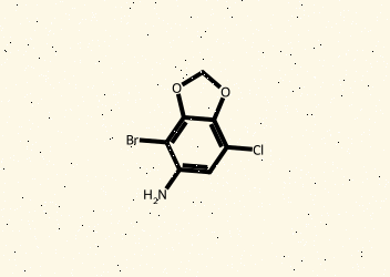 Nc1cc(Cl)c2c(c1Br)OCO2